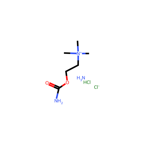 C[N+](C)(C)CCOC(N)=O.Cl.N.[Cl-]